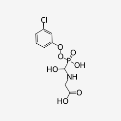 O=C(O)CNC(O)P(=O)(O)OOc1cccc(Cl)c1